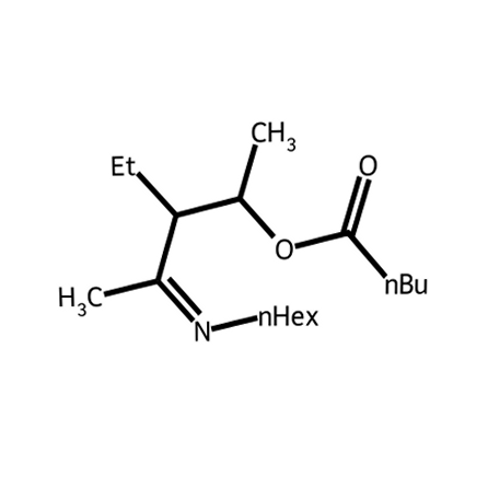 CCCCCCN=C(C)C(CC)C(C)OC(=O)CCCC